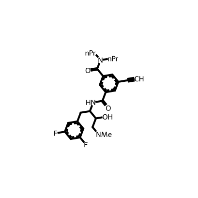 C#Cc1cc(C(=O)NC(Cc2cc(F)cc(F)c2)C(O)CNC)cc(C(=O)N(CCC)CCC)c1